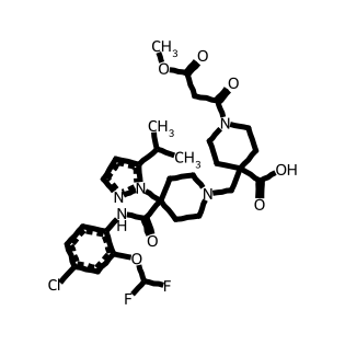 COC(=O)CC(=O)N1CCC(CN2CCC(C(=O)Nc3ccc(Cl)cc3OC(F)F)(n3nccc3C(C)C)CC2)(C(=O)O)CC1